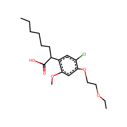 CCCCCCC(C(=O)O)c1cc(Cl)c(OCCOCC)cc1OC